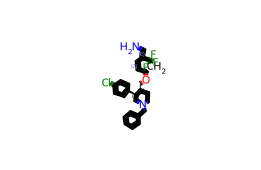 C=C(/C=C\C(=C/N)C(F)(F)F)OC[C@@H]1CCN(Cc2ccccc2)C[C@H]1c1ccc(Cl)cc1